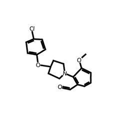 COc1cccc(C=O)c1N1CCC(Oc2ccc(Cl)cc2)CC1